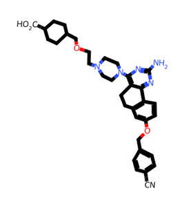 N#Cc1ccc(COc2ccc3c(c2)CCc2c-3nc(N)nc2N2CCN(CCOCC3CCC(C(=O)O)CC3)CC2)cc1